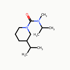 CC(C)C1CCCN(C(=O)N(C)C(C)C)C1